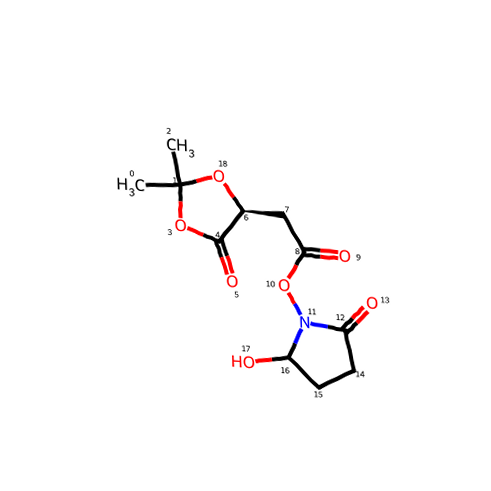 CC1(C)OC(=O)[C@H](CC(=O)ON2C(=O)CCC2O)O1